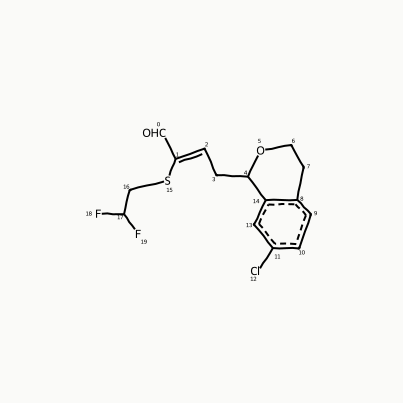 O=C/C(=C/CC1OCCc2ccc(Cl)cc21)SCC(F)F